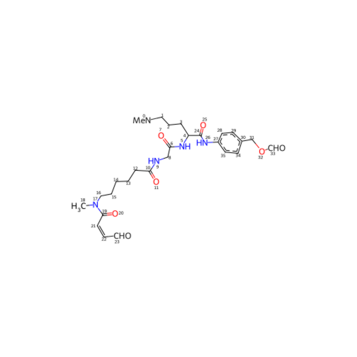 CNCCCC(NC(=O)CNC(=O)CCCCCN(C)C(=O)/C=C\C=O)C(=O)Nc1ccc(COC=O)cc1